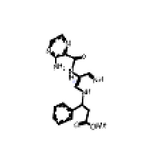 COC(=O)CC(N/C=C(\C=N)NC(=O)c1nccnc1N)c1ccccc1